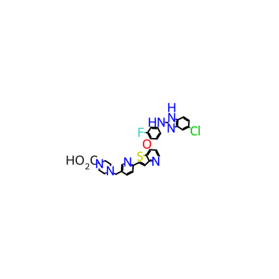 O=C(O)N1CCN(Cc2ccc(-c3cc4nccc(Oc5ccc(Nc6nc7cc(Cl)ccc7[nH]6)cc5F)c4s3)nc2)CC1